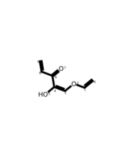 C=CO/C=C(/O)C(=O)C=C